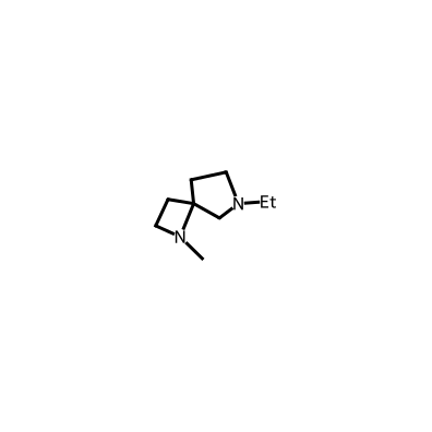 CCN1CCC2(CCN2C)C1